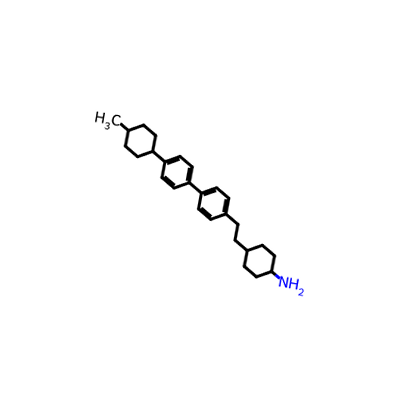 CC1CCC(c2ccc(-c3ccc(CCC4CCC(N)CC4)cc3)cc2)CC1